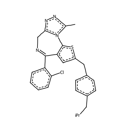 Cc1nnc2n1-c1sc(Cc3ccc(CC(C)C)cc3)cc1C(c1ccccc1Cl)=NC2